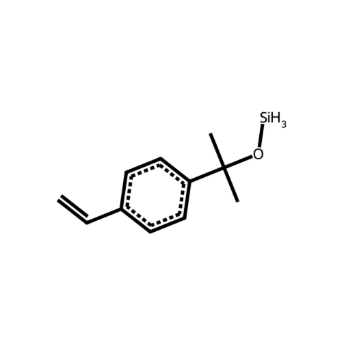 C=Cc1ccc(C(C)(C)O[SiH3])cc1